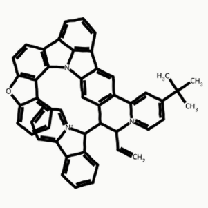 C=CC1C(C2c3ccccc3-c3cccc[n+]32)c2cc3c(cc2-c2cc(C(C)(C)C)cc[n+]21)c1cccc2c4ccc5oc6ccccc6c5c4n3c12